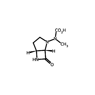 CN(C(=O)O)N1CC[C@H]2NC(=O)[C@H]21